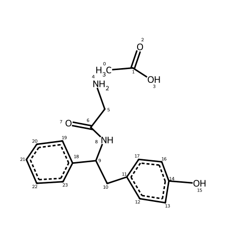 CC(=O)O.NCC(=O)NC(Cc1ccc(O)cc1)c1ccccc1